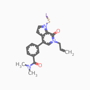 C=CCn1cc(-c2cccc(C(=O)N(C)C)c2)c2ccn(SI)c2c1=O